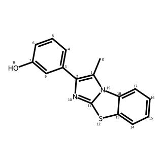 Cc1c(-c2cccc(O)c2)nc2sc3ccccc3n12